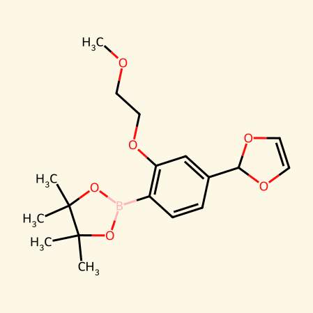 COCCOc1cc(C2OC=CO2)ccc1B1OC(C)(C)C(C)(C)O1